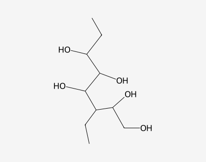 CCC(O)C(O)C(O)C(CC)C(O)CO